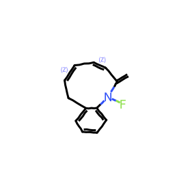 C=C1/C=C\C=C/Cc2ccccc2N1F